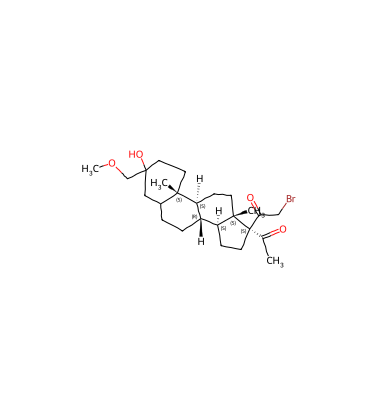 COCC1(O)CC[C@@]2(C)C(CC[C@@H]3[C@@H]2CC[C@@]2(C)[C@H]3CC[C@]2(C(C)=O)C(=O)CBr)C1